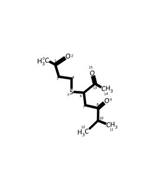 CC(=O)CCSC(CC(=O)C(C)C)C(C)=O